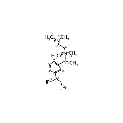 CC(C)CC(c1cccc(C(C)[N+](C)(C)CCN(C)C)c1)C(C)C